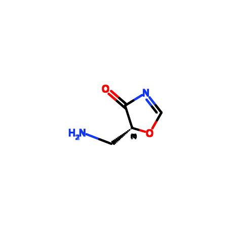 NC[C@H]1OC=NC1=O